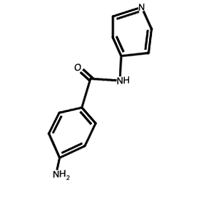 Nc1ccc(C(=O)Nc2ccncc2)cc1